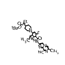 CCN(C(=O)OC(C)(C)C)C1CCN(c2cc(F)c(C(=O)Nc3cn4cc(C)nc(C#N)c4n3)c3nn(C)cc23)CC1